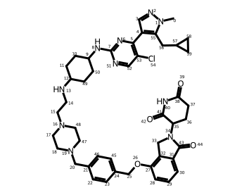 Cn1ncc(-c2nc(NC3CCC(NCCN4CCN(Cc5ccc(COc6cccc7c6CN(C6CCC(=O)NC6=O)C7=O)cc5)CC4)CC3)ncc2Cl)c1CC1CC1